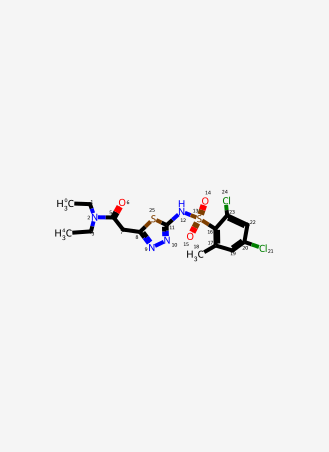 CCN(CC)C(=O)Cc1nnc(NS(=O)(=O)c2c(C)cc(Cl)cc2Cl)s1